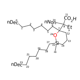 CCCCCCCCCCCCCCCCC1(C(CC)(CCCCCCCCC)C(=O)O)CCC[Si](C)(CCCCCCCCCCCCCCCC)O1